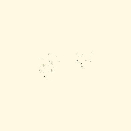 C[C@@H](O)C(CCCCCCN1C(=O)c2ccccc2C1=O)n1cnc2c(N)ncnc21